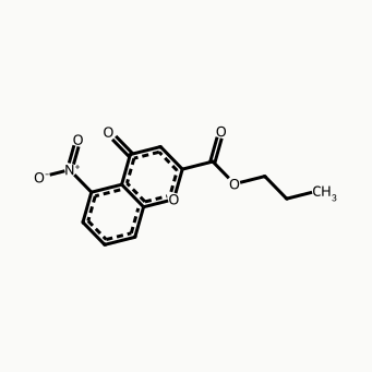 CCCOC(=O)c1cc(=O)c2c([N+](=O)[O-])cccc2o1